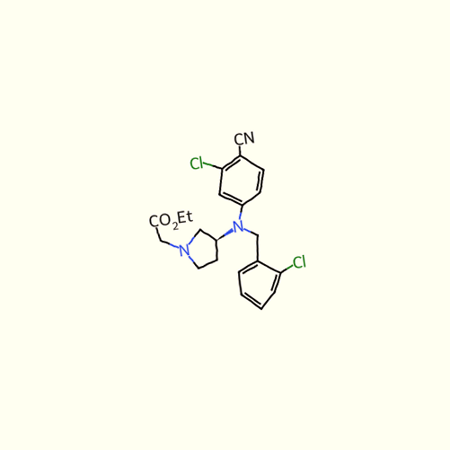 CCOC(=O)CN1CC[C@H](N(Cc2ccccc2Cl)c2ccc(C#N)c(Cl)c2)C1